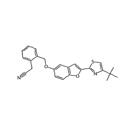 CC(C)(C)c1csc(-c2cc3cc(OCc4ccccc4CC#N)ccc3o2)n1